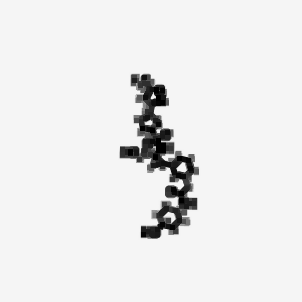 O=C(Cc1cccc(C2CC2(NS(=O)(=O)c2ccc(-c3cc(C(F)(F)F)on3)s2)C(=O)O)c1)N[C@H]1CC[C@H](O)CC1